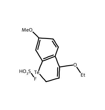 CCOC1=CC[Te]c2cc(OC)ccc21.O=S(=O)(O)F